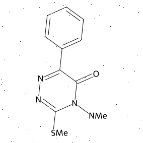 CNn1c(SC)nnc(-c2ccccc2)c1=O